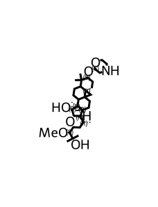 CO[C@@H](C1C[C@@H](C)[C@H]2C(O1)[C@H](O)[C@@]1(C)C3CCC4C(C)(C)[C@@H](O[C@H]5CNCCO5)CC[C@@]45CC35CC[C@]21C)C(C)(C)O